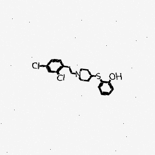 Oc1ccccc1SC1CCN(CCc2ccc(Cl)cc2Cl)CC1